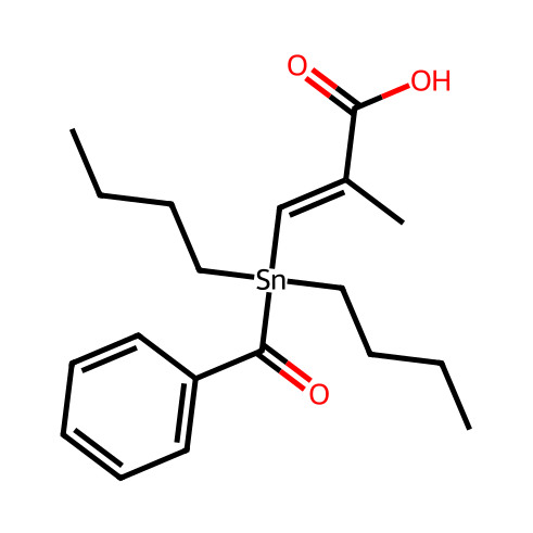 CCC[CH2][Sn](/[CH]=C(\C)C(=O)O)([CH2]CCC)[C](=O)c1ccccc1